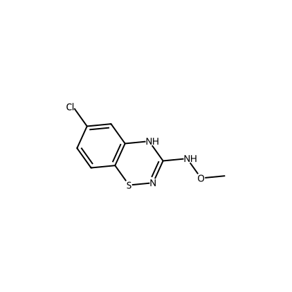 CONC1=NSc2ccc(Cl)cc2N1